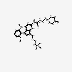 COc1cccc(OC)c1-c1cn(COCC[Si](C)(C)C)c2nc(NC(=O)NCCN3CCN(C)CC3)ccc12